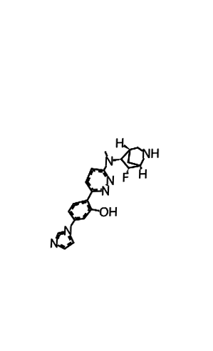 CN(c1ccc(-c2ccc(-n3ccnc3)cc2O)nn1)[C@H]1[C@@H]2CN[C@@H](C2)[C@@H]1F